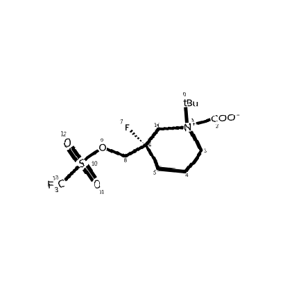 CC(C)(C)[N+]1(C(=O)[O-])CCC[C@@](F)(COS(=O)(=O)C(F)(F)F)C1